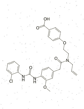 C=CCN(CCOc1ccc(C(=O)O)cc1)C(=O)Cc1ccc(NC(=O)Nc2ccccc2Cl)c(OC)c1